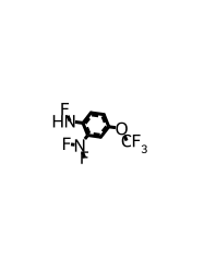 FNc1ccc(OC(F)(F)F)cc1N(F)F